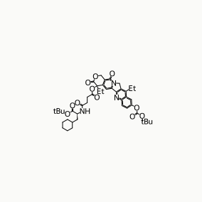 CCc1c2c(nc3ccc(OC(=O)OC(C)(C)C)cc13)-c1cc3c(c(=O)n1C2)COC(=O)[C@@]3(CC)OC(=O)CCC(=O)N[C@@H](CC1CCCCC1)C(=O)OC(C)(C)C